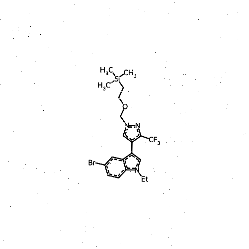 CCn1cc(-c2cn(COCC[Si](C)(C)C)nc2C(F)(F)F)c2cc(Br)ccc21